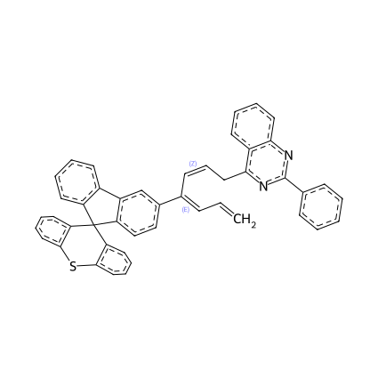 C=C/C=C(\C=C/Cc1nc(-c2ccccc2)nc2ccccc12)c1ccc2c(c1)-c1ccccc1C21c2ccccc2Sc2ccccc21